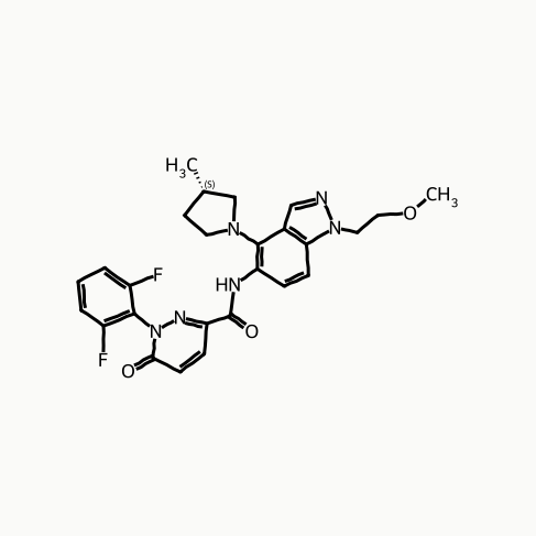 COCCn1ncc2c(N3CC[C@H](C)C3)c(NC(=O)c3ccc(=O)n(-c4c(F)cccc4F)n3)ccc21